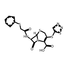 O=C(CSc1ccccc1)N[C@@H]1C(=O)N2C(C(=O)O)=C(Sc3cnns3)CS[C@@H]12